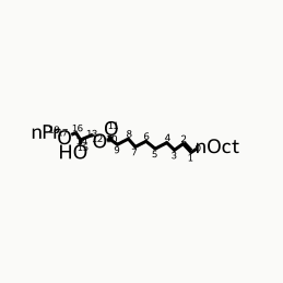 CCCCCCCC/C=C/CCCCCCCC(=O)OCC(O)COCCC